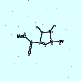 COC(=O)C1=CN(C(C)C)N(C)C1C